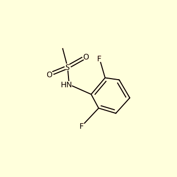 CS(=O)(=O)Nc1c(F)cccc1F